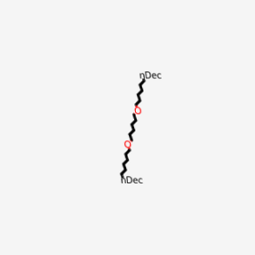 CCCCCCCCCCCCCCCCOCCCCCCOCCCCCCCCCCCCCCCC